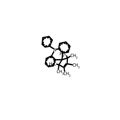 CC1=C(C)C(C)(C)C2(c3ccccc3N(c3ccccc3)c3ccccc32)C1(C)C